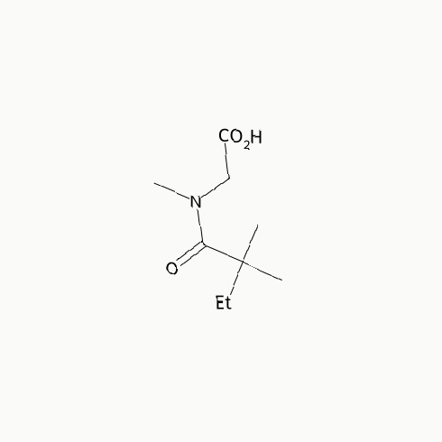 CCC(C)(C)C(=O)N(C)CC(=O)O